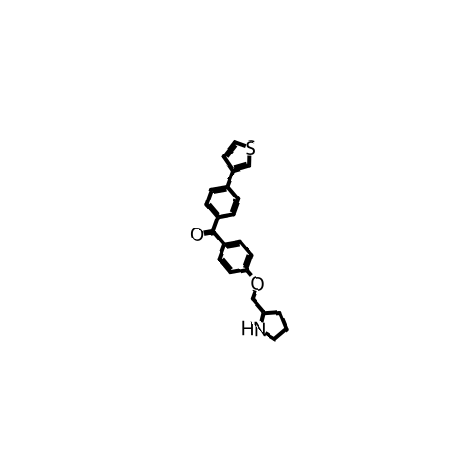 O=C(c1ccc(OCC2CCCN2)cc1)c1ccc(-c2ccsc2)cc1